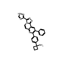 NC1(c2ccc(-c3nc4ccn5c(-c6nc[nH]n6)nnc5c4cc3-c3ccccc3)cc2)CCC1